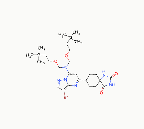 C[Si](C)(C)CCOCN(COCC[Si](C)(C)C)c1cc(C2CCC3(CC2)NC(=O)NC3=O)nc2c(Br)cnn12